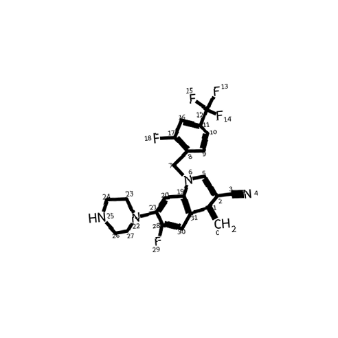 C=C1C(C#N)=CN(Cc2ccc(C(F)(F)F)cc2F)c2cc(N3CCNCC3)c(F)cc21